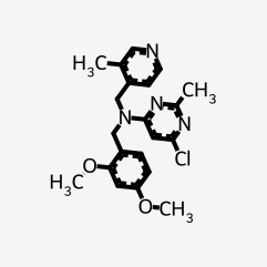 COc1ccc(CN(Cc2ccncc2C)c2cc(Cl)nc(C)n2)c(OC)c1